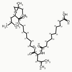 CCC1(C)CN1C(CC(C)C)C(=O)OCCCCCCOC(=O)C(CC(C)C)NC(=O)CCCCCCCCC(=O)O